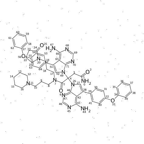 NC(=O)CC(C(=O)N(CCCN1CCCCC1)CCCN1CCCC1=O)(n1cc(-c2ccc(Oc3ccccc3)cc2)c2c(N)ncnc21)n1cc(-c2ccc(Oc3ccccc3)cc2)c2c(N)ncnc21